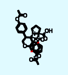 CC(=O)Oc1ccc(C2COc3cc(OC(C)=O)ccc3C2N2CCC[C@]2(C(=O)O)S(=O)(=O)c2ccc(F)cc2)cc1